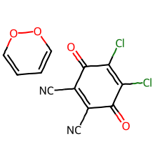 C1=COOC=C1.N#CC1=C(C#N)C(=O)C(Cl)=C(Cl)C1=O